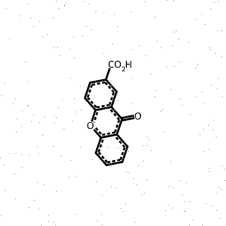 O=C(O)c1ccc2oc3ccccc3c(=O)c2c1